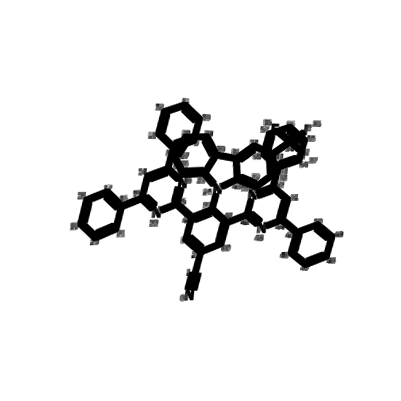 N#Cc1cc(-c2nc(-c3ccccc3)cc(-c3ccccc3)n2)c(-n2c3ccccc3c3cc(C(F)(F)F)ccc32)c(-c2nc(-c3ccccc3)cc(-c3ccccc3)n2)c1